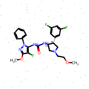 COCCN1C[C@@H](NC(=O)Nc2c(F)c(OC)nn2-c2ccccc2)[C@H](c2cc(F)cc(F)c2)C1